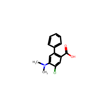 CN(C)c1cc(-c2ccccc2)c(C(=O)O)cc1Cl